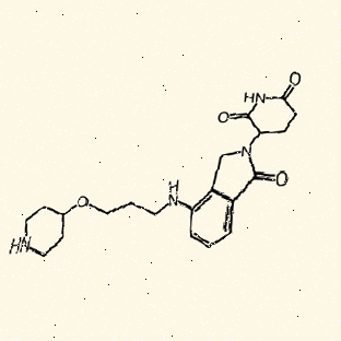 O=C1CCC(N2Cc3c(NCCCOC4CCNCC4)cccc3C2=O)C(=O)N1